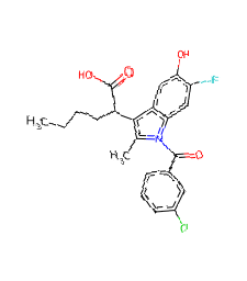 CCCCC(C(=O)O)c1c(C)n(C(=O)c2cccc(Cl)c2)c2cc(F)c(O)cc12